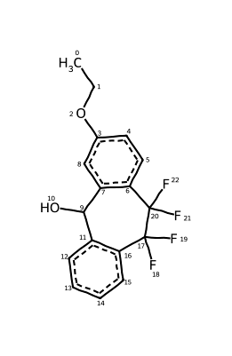 CCOc1ccc2c(c1)C(O)c1ccccc1C(F)(F)C2(F)F